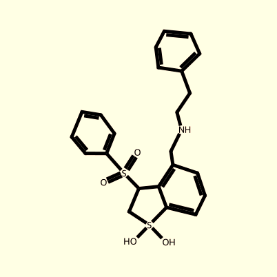 O=S(=O)(c1ccccc1)C1CS(O)(O)c2cccc(CNCCc3ccccc3)c21